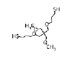 COCC(COC)(COCCCS)COCCCS